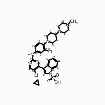 C1CC1.CN1CCN(C2CCN(c3ccc(Nc4ncc(Cl)c(-c5cn(S(=O)(=O)O)c6ccccc56)n4)cc3Cl)CC2)CC1